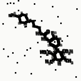 CCCC1CCN(CCCNC(=O)Nc2cc(C3C(C(=O)O)=C(C)NC(C)=C3C(=O)O)ccc2F)CC1